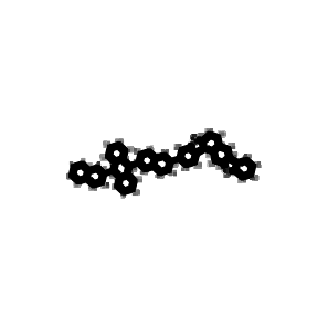 c1ccc2cc(-c3c4ccccc4c(-c4ccc5cc(-c6ccc7c(c6)sc6ccc8cc9c(cc8c67)sc6ccccc69)ccc5c4)c4ccccc34)ccc2c1